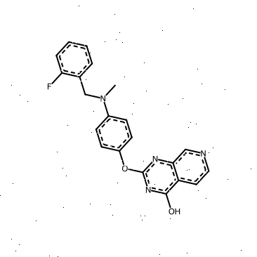 CN(Cc1ccccc1F)c1ccc(Oc2nc(O)c3ccncc3n2)cc1